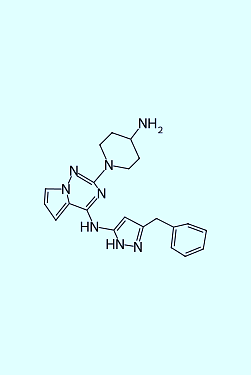 NC1CCN(c2nc(Nc3cc(Cc4ccccc4)n[nH]3)c3cccn3n2)CC1